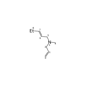 C=CCN(C)C/C=C/CC